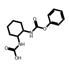 O=C(O)NC1CCCCC1NC(=O)Oc1ccccc1